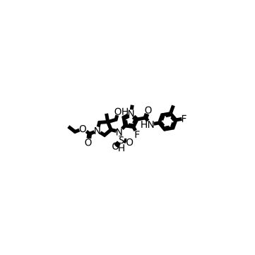 CCOC(=O)N1CC(N(c2cn(C)c(C(=O)Nc3ccc(F)c(C)c3)c2F)[SH](=O)=O)C(C)(CO)C1